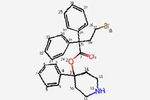 O=C(OC1(c2ccccc2)CCNCC1)C(CCBr)(c1ccccc1)c1ccccc1